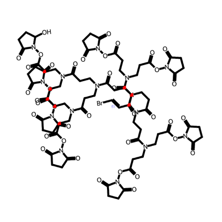 O=C(CCN(CCC(=O)ON1C(=O)CCC1=O)C(=O)CCN(CCC(=O)N(CCC(=O)ON1C(=O)CCC1=O)CCC(=O)ON1C(=O)CCC1=O)C(=O)CCN(CCC(=O)N(CCC(=O)N(CCC(=O)ON1C(=O)CCC1=O)CCC(=O)ON1C(=O)CCC1=O)CCC(=O)N(CCC(=O)ON1C(=O)CCC1=O)CCC(=O)ON1C(=O)CCC1O)C(=O)/C=C/Br)ON1C(=O)CCC1=O